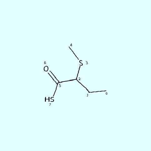 CCC(SC)C(=O)S